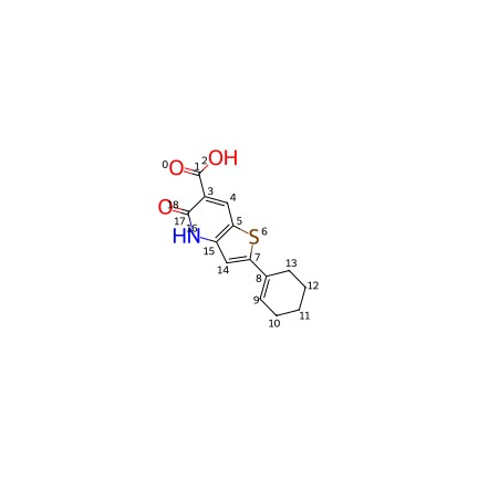 O=C(O)c1cc2sc(C3=CCCCC3)cc2[nH]c1=O